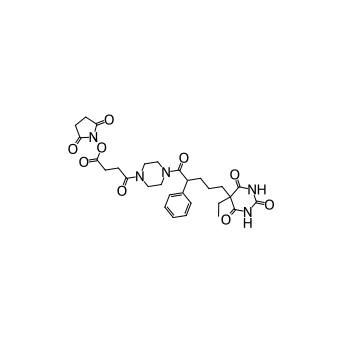 CCC1(CCCC(C(=O)N2CCN(C(=O)CCC(=O)ON3C(=O)CCC3=O)CC2)c2ccccc2)C(=O)NC(=O)NC1=O